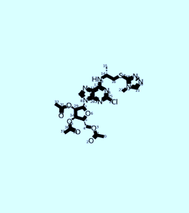 CC(=O)OC[C@H]1O[C@@H](n2cnc3c(N[C@H](C)CSc4nncn4C)nc(Cl)nc32)[C@H](OC(C)=O)[C@@H]1OC(C)=O